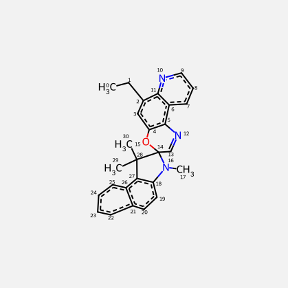 CCc1cc2c(c3cccnc13)N=CC1(O2)N(C)c2ccc3ccccc3c2C1(C)C